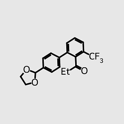 CCC(=O)c1c(-c2ccc(C3OCCO3)cc2)cccc1C(F)(F)F